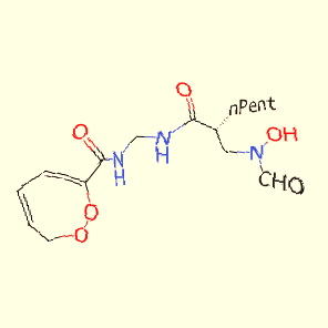 CCCCC[C@H](CN(O)C=O)C(=O)NCNC(=O)C1=CC=CCOO1